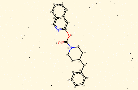 O=C(Oc1cc2ccccc2cn1)N1CCC(Cc2ccccc2)CC1